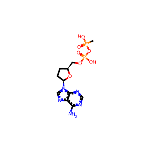 CP(=O)(O)OP(=O)(O)OC[C@@H]1CC[C@H](n2cnc3c(N)ncnc32)O1